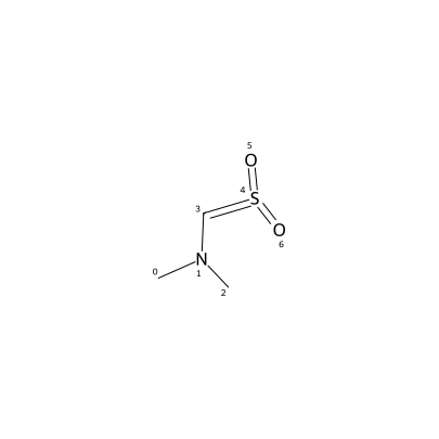 CN(C)C=S(=O)=O